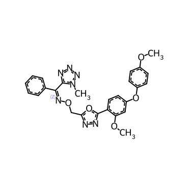 COc1ccc(Oc2ccc(-c3nnc(CO/N=C(/c4ccccc4)c4nnnn4C)o3)c(OC)c2)cc1